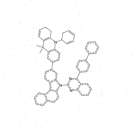 CC1(C)C2=C(CCC=C2)N(C2C=CC=CC2)c2ccc(-c3ccc4c5c6ccccc6ccc5n(-c5nc(-c6ccc(-c7ccccc7)cc6)c6ccccc6n5)c4c3)cc21